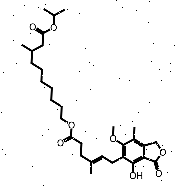 [CH2]C([CH2])OC(=O)CC(C)CCCCCCCOC(=O)CC/C(C)=C/Cc1c(O)c2c(c(C)c1OC)COC2=O